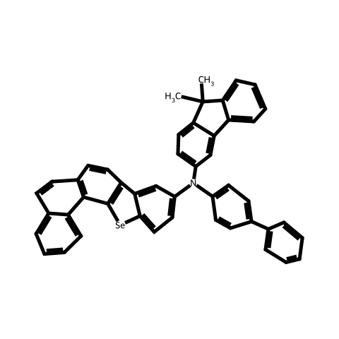 CC1(C)c2ccccc2-c2cc(N(c3ccc(-c4ccccc4)cc3)c3ccc4[se]c5c(ccc6ccc7ccccc7c65)c4c3)ccc21